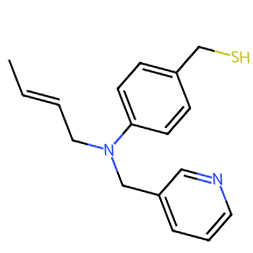 CC=CCN(Cc1cccnc1)c1ccc(CS)cc1